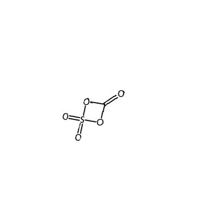 O=C1OS(=O)(=O)O1